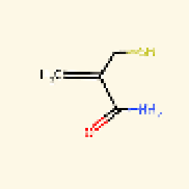 C=C(CS)C(N)=O